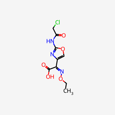 CCON=C(C(=O)O)c1coc(NC(=O)CCl)n1